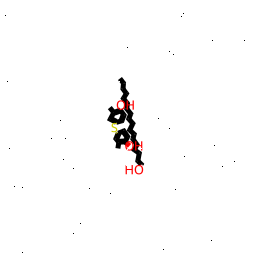 CCCCCCCCCCCCCCCCCCO.Cc1cc(Sc2ccc(O)c(C)c2)ccc1O